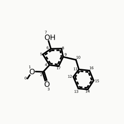 COC(=O)c1cc(O)cc(Cc2ccccc2)c1